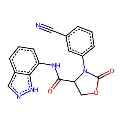 N#Cc1cccc(N2C(=O)OCC2C(=O)Nc2cccc3cn[nH]c23)c1